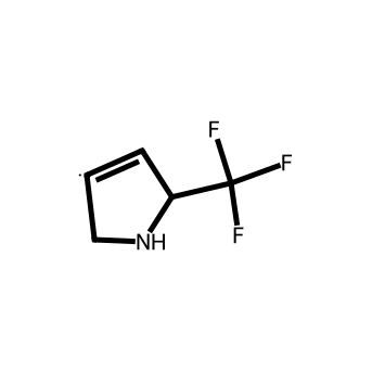 FC(F)(F)C1C=[C]CN1